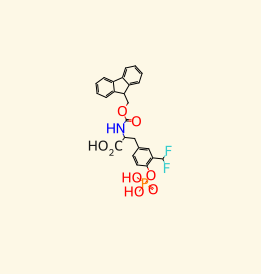 O=C(NC(Cc1ccc(OP(=O)(O)O)c(C(F)F)c1)C(=O)O)OCC1c2ccccc2-c2ccccc21